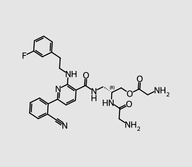 N#Cc1ccccc1-c1ccc(C(=O)NC[C@H](COC(=O)CN)NC(=O)CN)c(NCCc2cccc(F)c2)n1